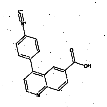 [C-]#[N+]c1ccc(-c2ccnc3ccc(C(=O)O)cc23)cc1